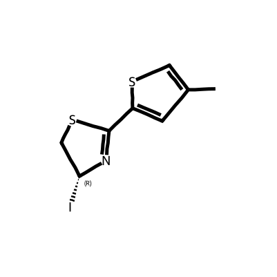 Cc1csc(C2=N[C@H](I)CS2)c1